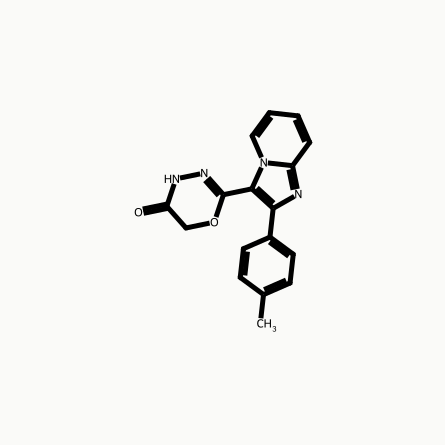 Cc1ccc(-c2nc3ccccn3c2C2=NNC(=O)CO2)cc1